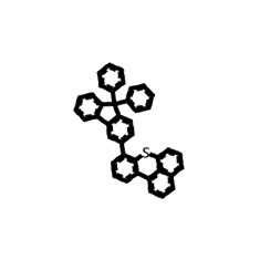 c1ccc(C2(c3ccccc3)c3ccccc3-c3cc(-c4cccc5c4Sc4cccc6cccc-5c46)ccc32)cc1